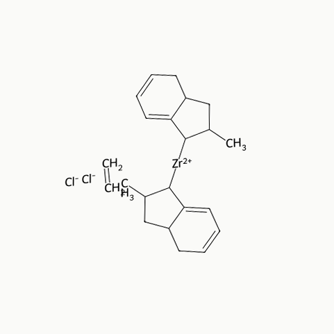 C=C.CC1CC2CC=CC=C2[CH]1[Zr+2][CH]1C2=CC=CCC2CC1C.[Cl-].[Cl-]